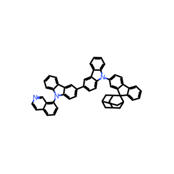 c1ccc2c(c1)-c1ccc(-n3c4ccccc4c4cc(-c5ccc6c(c5)c5ccccc5n6-c5cccc6ccncc56)ccc43)cc1C21C2CC3CC(C2)CC1C3